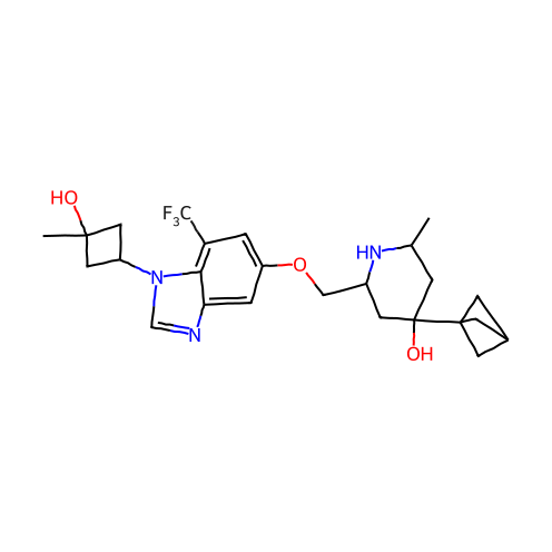 CC1CC(O)(C23CC(C2)C3)CC(COc2cc(C(F)(F)F)c3c(c2)ncn3C2CC(C)(O)C2)N1